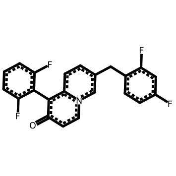 O=c1ccn2cc(Cc3ccc(F)cc3F)ccc2c1-c1c(F)cccc1F